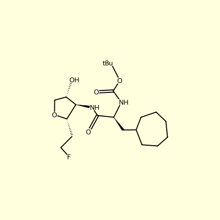 CC(C)(C)OC(=O)N[C@@H](CC1CCCCCC1)C(=O)N[C@H]1[C@H](CCF)OC[C@@H]1O